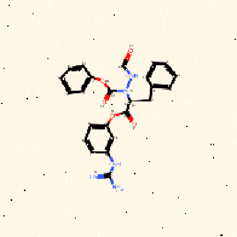 N=C(N)Nc1cccc(OC(=O)[C@H](Cc2ccccc2)N(NC=O)C(=O)Oc2ccccc2)c1